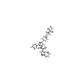 Cc1ccc(-n2nc(C3CCN(C4CN(S(=O)(=O)CF)C4)CC3)cc2NC(=O)c2cnn3cccnc23)cc1